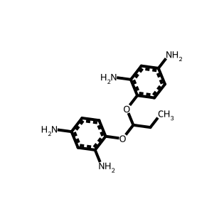 CCC(Oc1ccc(N)cc1N)Oc1ccc(N)cc1N